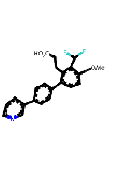 COc1ccc(-c2ccc(-c3cccnc3)cc2)c(CCC(=O)O)c1C(F)F